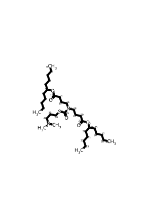 CCCCCC(CCCCC)OC(=O)CCCN(CCCC(=O)OC(CCCCC)CCCCC)C(=O)SCCCN(C)C